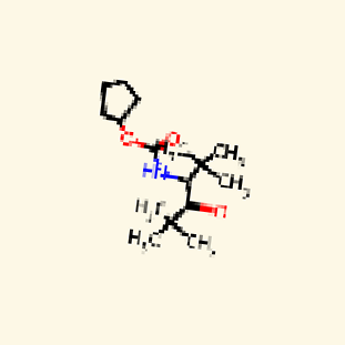 CC(C)(C)C(=O)C(NC(=O)OC1CCCC1)C(C)(C)C